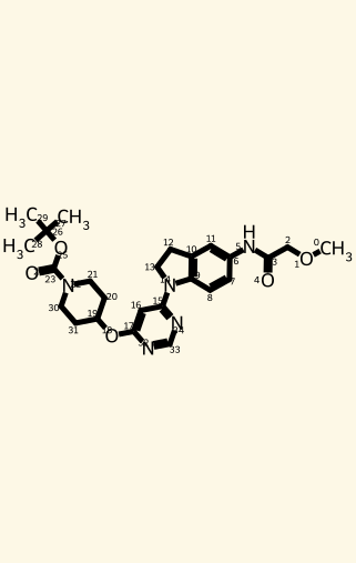 COCC(=O)Nc1ccc2c(c1)CCN2c1cc(OC2CCN(C(=O)OC(C)(C)C)CC2)ncn1